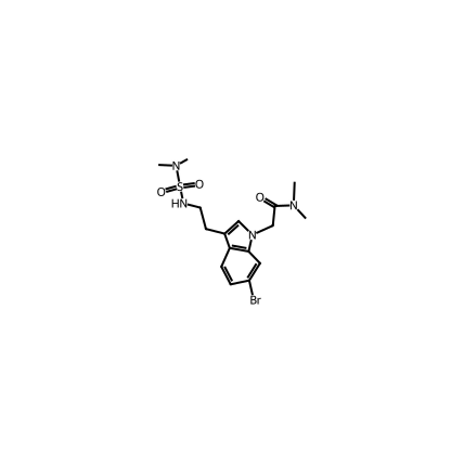 CN(C)C(=O)Cn1cc(CCNS(=O)(=O)N(C)C)c2ccc(Br)cc21